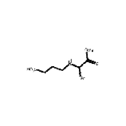 COC(=O)C(NCCCS(=O)(=O)O)C(C)C